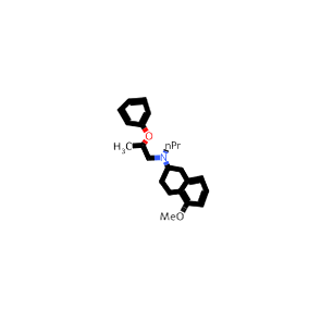 CCCN(CC(C)Oc1ccccc1)C1CCc2c(cccc2OC)C1